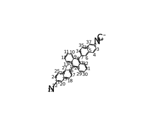 [C-]#[N+]c1ccc2cc(-c3c4ccccc4c(-c4ccc5cc(C#N)ccc5c4)c4ccccc34)ccc2c1